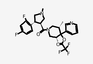 C[C@@H]1CN(C(=O)[C@@H]2CN(C)C[C@H]2c2ccc(F)cc2F)C[C@H](C)C1(OC(=O)C(F)(F)F)c1cccnc1